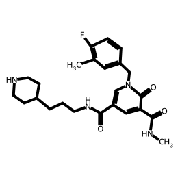 CNC(=O)c1cc(C(=O)NCCCC2CCNCC2)cn(Cc2ccc(F)c(C)c2)c1=O